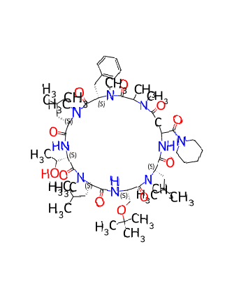 CC(C)C[C@H]1C(=O)NC(C(=O)N2CCCCC2)CC(=O)N(C)C(C)C(=O)N(C)[C@@H](Cc2ccccc2)C(=O)N(C)[C@@H](CC(C)C)C(=O)N[C@@H](C(C)O)C(=O)N(C)[C@@H](CC(C)C)C(=O)N[C@@H](COC(C)(C)C)C(=O)N1C